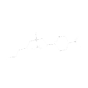 BCCCCC(N)(CCN1CCC(C(=O)O)CC1)C(=O)O